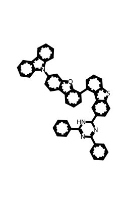 c1ccc(C2=NC(c3ccc4sc5cccc(-c6cccc7c6oc6cc(-n8c9ccccc9c9ccccc98)ccc67)c5c4c3)NC(c3ccccc3)=N2)cc1